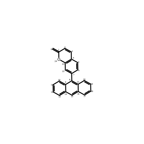 C=C1C=Cc2ccc(-c3c4ccccc4cc4ccccc34)cc2O1